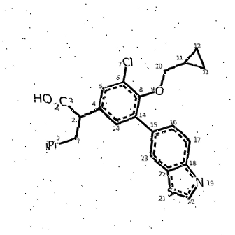 CC(C)CC(C(=O)O)c1cc(Cl)c(OCC2CC2)c(-c2ccc3ncsc3c2)c1